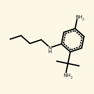 Bc1ccc(C(C)(C)N)c(NCCCC)c1